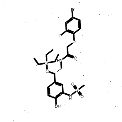 CC[Si](CC)(CC)O[C@H](CNC(=O)COc1ccc(Br)cc1F)c1ccc(O)c(NS(C)(=O)=O)c1